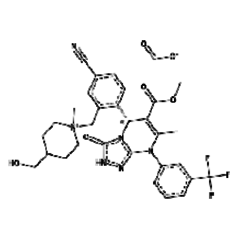 COC(=O)C1=C(C)N(c2cccc(C(F)(F)F)c2)c2n[nH]c(=O)n2[C@@H]1c1ccc(C#N)cc1C[N+]1(C)CCC(CO)CC1.O=C[O-]